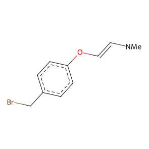 CNC=COc1ccc(CBr)cc1